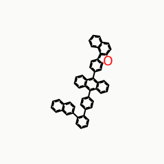 c1ccc(-c2ccc3ccccc3c2)c(-c2ccc(-c3c4ccccc4c(-c4ccc5c(c4)oc4ccc6ccccc6c45)c4ccccc34)cc2)c1